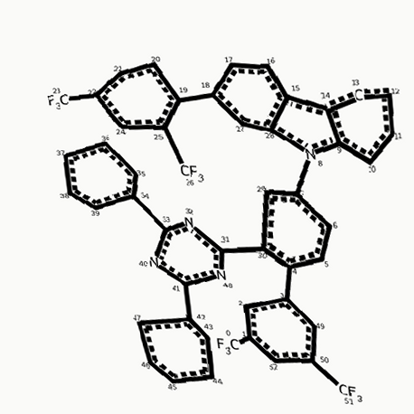 FC(F)(F)c1cc(-c2ccc(-n3c4ccccc4c4ccc(-c5ccc(C(F)(F)F)cc5C(F)(F)F)cc43)cc2-c2nc(-c3ccccc3)nc(-c3ccccc3)n2)cc(C(F)(F)F)c1